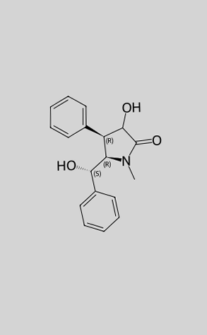 CN1C(=O)C(O)[C@H](c2ccccc2)[C@@H]1[C@@H](O)c1ccccc1